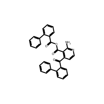 Nc1nccc(C(=O)c2ccccc2-c2ccccc2)c1C(=O)OC(=O)c1ccccc1-c1ccccc1